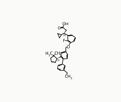 CCc1cccc(-c2ccc(COc3cccc([C@H](CC(=O)O)C4CC4)c3F)cc2[C@H]2CCCC2(C)C)c1